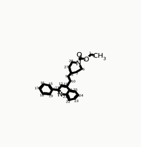 CCOC(=O)N1CCC(CCc2cc(-c3ccccc3)nc3ccccc23)CC1